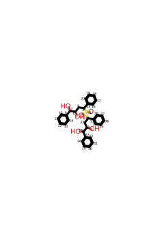 O=S(=O)(C(CC(O)C(O)c1ccccc1)c1ccccc1)C(CC(O)C(O)c1ccccc1)c1ccccc1